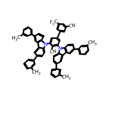 Cc1cccc(-c2ccc3c(c2)c2cc(-c4cccc(C)c4)ccc2n3-c2cc(-c3cc(C#N)cc(C(F)(F)F)c3)cc(-n3c4ccc(-c5cccc(C)c5)cc4c4cc(-c5cccc(C)c5)ccc43)c2C#N)c1